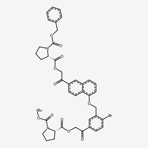 CC(C)(C)OC(=O)N1CCC[C@H]1C(=O)OCC(=O)c1ccc(Br)c(COc2cccc3cc(C(=O)COC(=O)[C@@H]4CCCN4C(=O)OCc4ccccc4)ccc23)c1